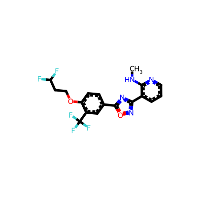 CNc1ncccc1-c1noc(-c2ccc(OCCC(F)F)c(C(F)(F)F)c2)n1